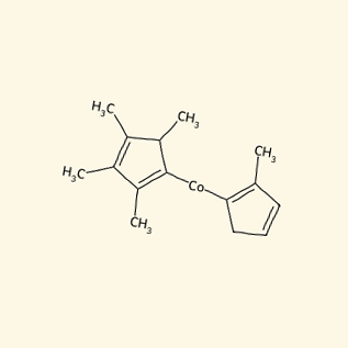 CC1=[C]([Co][C]2=C(C)C(C)=C(C)C2C)CC=C1